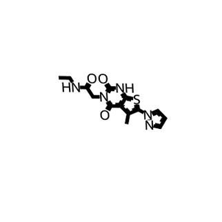 CCNC(=O)Cn1c(=O)[nH]c2sc(-n3cccn3)c(C)c2c1=O